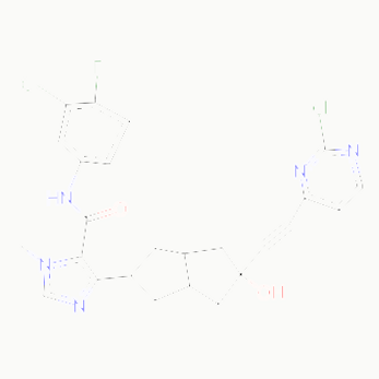 Cn1cnc(C2CC3CC(O)(C#Cc4ccnc(Cl)n4)CC3C2)c1C(=O)Nc1ccc(F)c(Cl)c1